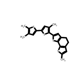 Cc1cc2c(s1)-c1sc(-c3sc(-c4cc(C)c(C)s4)cc3C)cc1CC2